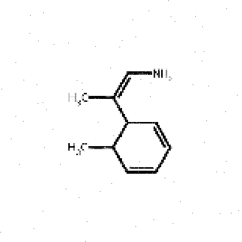 C/C(=C/N)C1C=CC=CC1C